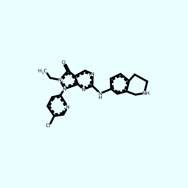 CCn1c(=O)c2cnc(Nc3ccc4c(c3)CNCC4)nc2n1-c1ccc(Cl)cn1